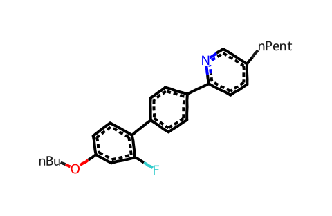 CCCCCc1ccc(-c2ccc(-c3ccc(OCCCC)cc3F)cc2)nc1